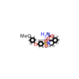 COc1ccc(Oc2ccc(S(=O)(=O)N3CCc4ccccc4[C@H]3OC(N)=O)cc2)cc1